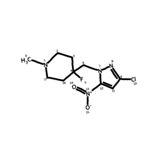 CN1CCC(F)(Cn2nc(Cl)cc2[N+](=O)[O-])CC1